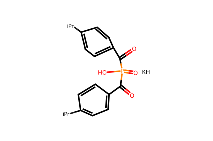 CC(C)c1ccc(C(=O)P(=O)(O)C(=O)c2ccc(C(C)C)cc2)cc1.[KH]